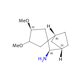 COC1CC2(C[C@@H]1OC)[C@@H]1CC[C@@H](C1)[C@H]2N